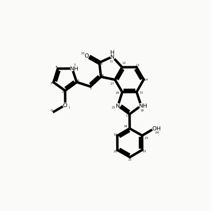 COc1cc[nH]c1C=C1C(=O)Nc2ccc3[nH]c(-c4ccccc4O)nc3c21